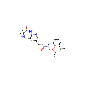 CCCOc1c(CN(C)C(=O)/C=C/c2cnc3c(c2)CNC(C)(C)C(=O)N3)cccc1C(C)C